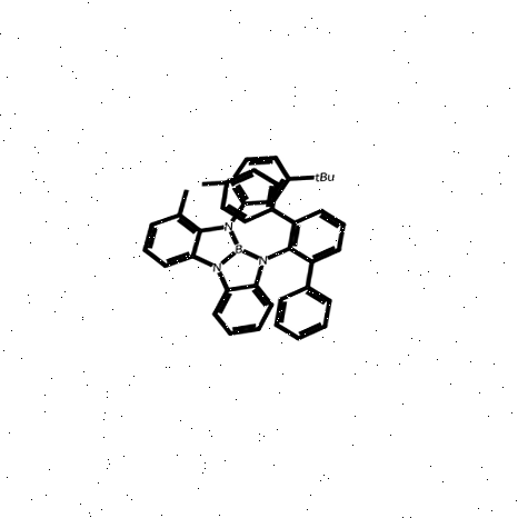 Cc1cccc2c1N(c1cc(C(C)(C)C)cc[n+]1C)B1N2c2ccccc2N1c1c(-c2ccccc2)cccc1-c1ccccc1